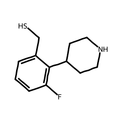 Fc1cccc(CS)c1C1CCNCC1